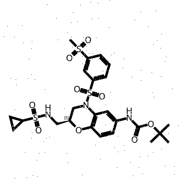 CC(C)(C)OC(=O)Nc1ccc2c(c1)N(S(=O)(=O)c1cccc(S(C)(=O)=O)c1)C[C@H](CNS(=O)(=O)C1CC1)O2